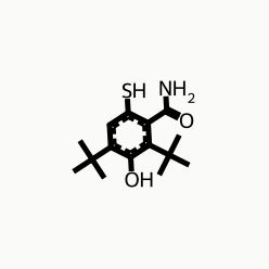 CC(C)(C)c1cc(S)c(C(N)=O)c(C(C)(C)C)c1O